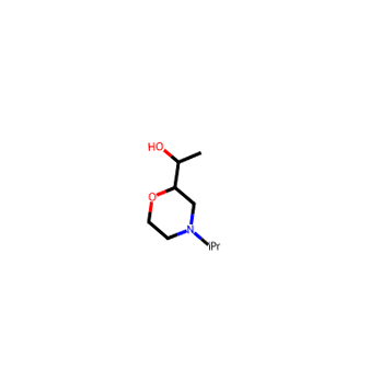 CC(O)C1CN(C(C)C)CCO1